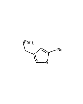 CCCCCCc1csc(C(C)CC)c1